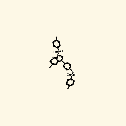 Cc1ccc(S(=O)(=O)Oc2ccc(-c3cn(S(=O)(=O)c4ccc(C)cc4)c4ncc(C)cc34)cc2)cc1